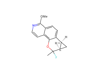 COc1nccc2c3c(ccc12)[C@H]1C[C@H]1C(C)(F)O3